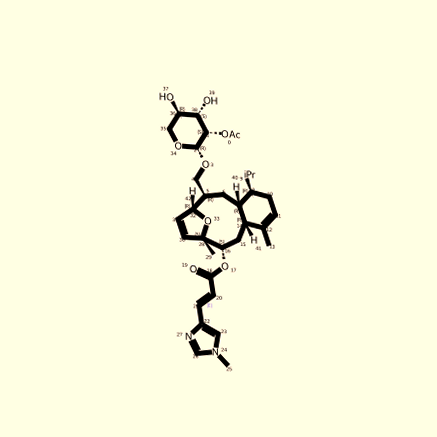 CC(=O)O[C@@H]1[C@H](OC[C@H]2C[C@@H]3[C@@H](C(C)C)CC=C(C)[C@@H]3C[C@H](OC(=O)/C=C/c3cn(C)cn3)[C@]3(C)C=C[C@H]2O3)OC[C@@H](O)[C@@H]1O